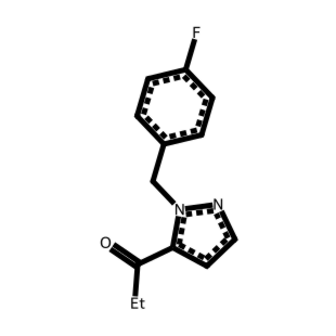 CCC(=O)c1ccnn1Cc1ccc(F)cc1